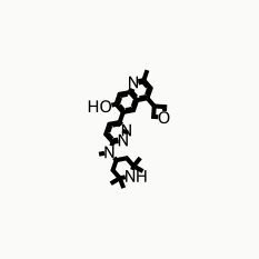 Cc1cc(C2COC2)c2cc(-c3ccc(N(C)C4CC(C)(C)NC(C)(C)C4)nn3)c(O)cc2n1